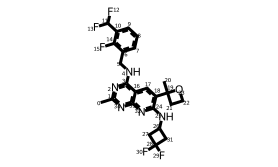 Cc1nc(NCc2cccc(C(F)F)c2F)c2cc(C3(C)CCO3)c(NC3CC(F)(F)C3)nc2n1